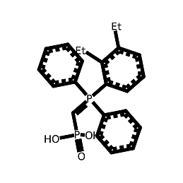 CCc1cccc(P(=CP(=O)(O)O)(c2ccccc2)c2ccccc2)c1CC